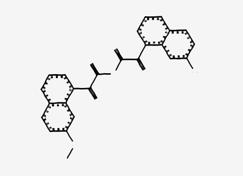 COc1ccc2cccc(C(=O)C(=O)OC(=O)C(=O)c3cccc4ccc(O)cc34)c2c1